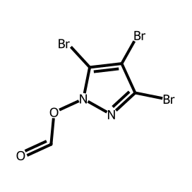 O=COn1nc(Br)c(Br)c1Br